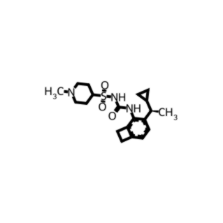 C[C@@H](c1ccc2c(c1NC(=O)NS(=O)(=O)C1CCN(C)CC1)CC2)C1CC1